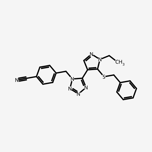 CCn1ncc(-c2nnnn2Cc2ccc(C#N)cc2)c1SCc1ccccc1